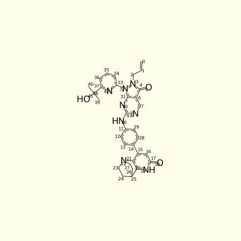 C=CCn1c(=O)c2cnc(Nc3ccc(-c4cc(=O)[nH]c5c4N4CCC5CC4)cc3)nc2n1-c1cccc(C(C)(C)O)n1